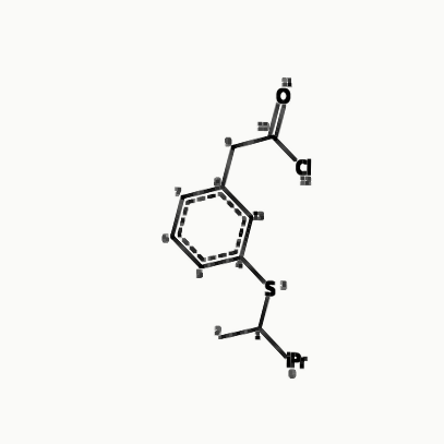 CC(C)C(C)Sc1cccc(CC(=O)Cl)c1